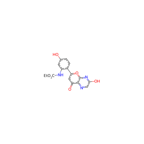 CCOC(=O)Nc1cc(O)ccc1-c1cc(=O)c2ncc(O)nc2o1